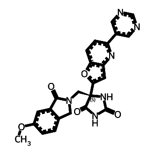 COc1ccc2c(c1)C(=O)N(C[C@@]1(c3cc4nc(-c5cncnc5)ccc4o3)NC(=O)NC1=O)C2